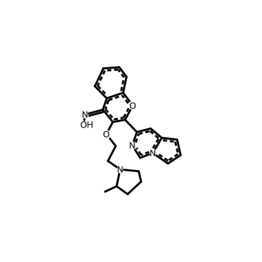 CC1CCCN1CCOc1c(-c2cc3cccn3cn2)oc2ccccc2c1=NO